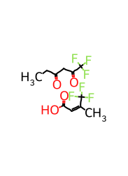 C/C(=C/C(=O)O)C(F)(F)F.CCC(=O)CC(=O)C(F)(F)F